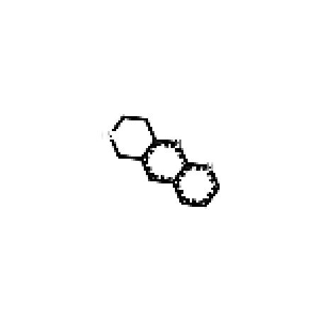 [c]1ccc2cc3c(nc2n1)CCNC3